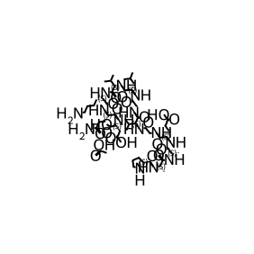 CC(=O)O.CC(C)C[C@H](NC(=O)CNC(=O)[C@@H](NC(=O)CNC(=O)[C@H](CCC(=O)O)NC(=O)[C@H](C)NC(=O)[C@H](C)NC(=O)[C@@H]1CCCN1)C(C)C)C(=O)N[C@H](C(=O)N[C@@H](CCCCN)C(=O)N[C@@H](CCC(N)=O)C(=O)N[C@@H](CC(=O)O)C(=O)O)C(C)C